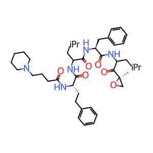 CC(C)CC(NC(=O)[C@H](CCc1ccccc1)NC(=O)CCCN1CCCCC1)C(=O)N[C@@H](Cc1ccccc1)C(=O)NC(CC(C)C)C(=O)[C@@]1(C)CO1